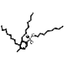 CCCCCCCCOS(=O)(=O)c1ccc(C)c(CCCCCCCC)c1CCCCCCCC